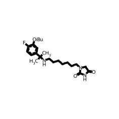 CC(C)COc1cc(C(C)(C)NCCCCCCCN2CC(=O)NC2=O)ccc1F